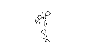 O=C(O)O[C@H]1CCCN(CCOCCN2c3ccccc3Sc3ccc(C(F)(F)F)cc32)C1